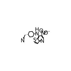 N#CC[C@H]1CC[C@H](Nc2c([N+](=O)[O-])cnc3ccsc23)CC1